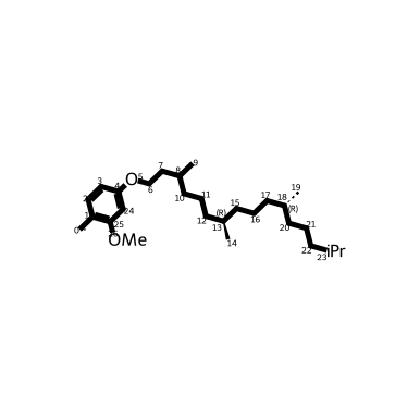 [CH2]c1ccc(OCCC(C)CCC[C@H](C)CCC[C@H](C)CCCC(C)C)cc1OC